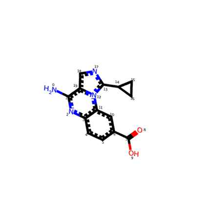 Nc1nc2ccc(C(=O)O)cc2n2c(C3CC3)ncc12